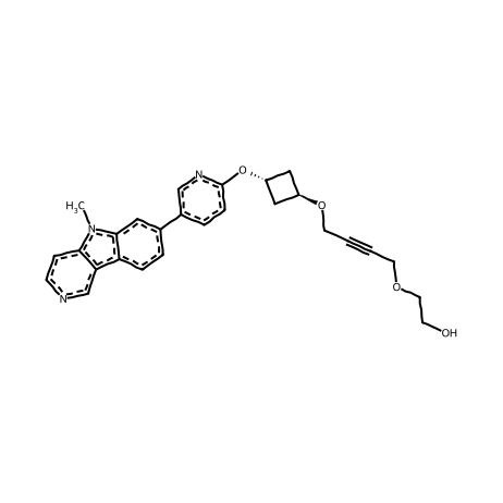 Cn1c2ccncc2c2ccc(-c3ccc(O[C@H]4C[C@H](OCC#CCOCCO)C4)nc3)cc21